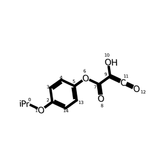 CC(C)Oc1ccc(OC(=O)C(O)=C=O)cc1